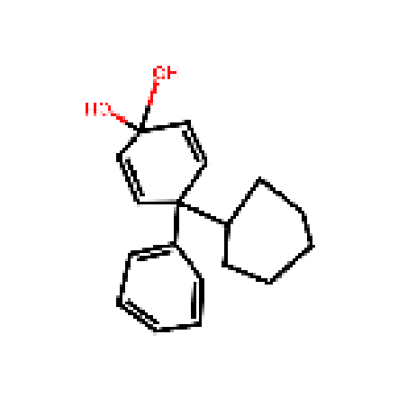 OC1(O)C=CC(c2ccccc2)(C2CCCCC2)C=C1